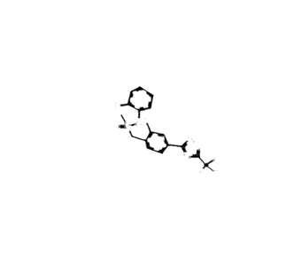 CP(=O)(Cc1ccc(-c2noc(C(F)(F)Cl)n2)cc1F)Nc1ccccc1F